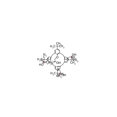 C=C(O)COc1c2cc(C(C)(C)C)cc1Cc1cc(C(C)(C)C)cc(c1OCC(=O)O)Cc1cc(C(C)(C)C)cc(c1OCC(=O)O)Cc1cc(C(C)(C)C)cc(c1OCC(=O)O)C2